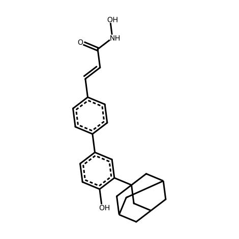 O=C(C=Cc1ccc(-c2ccc(O)c(C34CC5CC(CC(C5)C3)C4)c2)cc1)NO